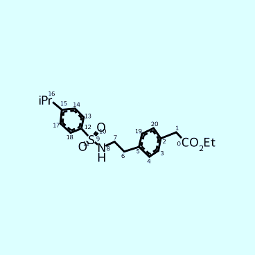 CCOC(=O)Cc1ccc(CCNS(=O)(=O)c2ccc(C(C)C)cc2)cc1